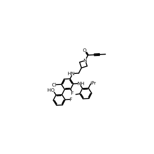 CC#CC(=O)N1CC(CNc2cc(Cl)c(-c3c(O)cccc3F)c(F)c2Nc2c(C)cccc2C(C)C)C1